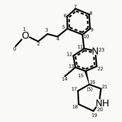 COCCCc1ccccc1-c1cc(C)c([C@@H]2CCCNC2)cn1